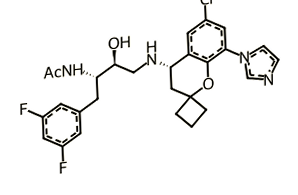 CC(=O)N[C@@H](Cc1cc(F)cc(F)c1)[C@@H](O)CN[C@H]1CC2(CCC2)Oc2c1cc(Cl)cc2-n1ccnc1